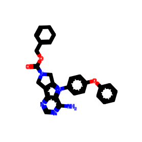 Nc1ncnc2c3c(n(-c4ccc(Oc5ccccc5)cc4)c12)CN(C(=O)OCC1=CCCC=C1)C3